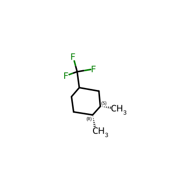 C[C@@H]1CCC(C(F)(F)F)C[C@@H]1C